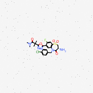 CN(C)C(=O)C(C)(C)c1nnc(-c2cc3c(cc2F)S(=O)(=O)C[C@H](N)C(=O)N3Cc2ccc(Cl)cc2)o1